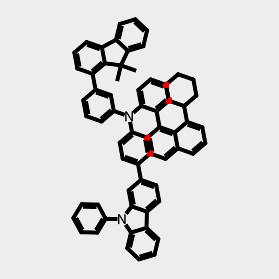 CC1(C)c2ccccc2-c2cccc(-c3cccc(N(c4ccc(-c5ccc6c7ccccc7n(-c7ccccc7)c6c5)cc4)c4ccccc4-c4cccc5cccc(C6CCCCC6)c45)c3)c21